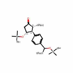 CCCCCC(O[Si](C)(C)C(C)(C)C)c1ccc([C@H]2[C@H](O[Si](C)(C)C(C)(C)C)CC(=O)[C@@H]2CCCCC)cc1